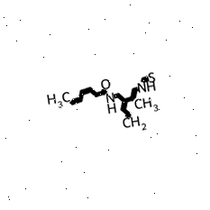 C=C/C=C(CNC(=O)C/C=C\C=C/C)\C(C)=C\NC=S